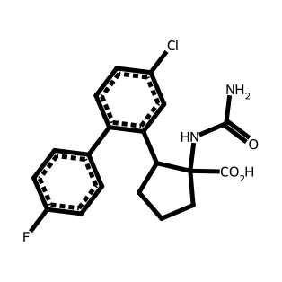 NC(=O)NC1(C(=O)O)CCCC1c1cc(Cl)ccc1-c1ccc(F)cc1